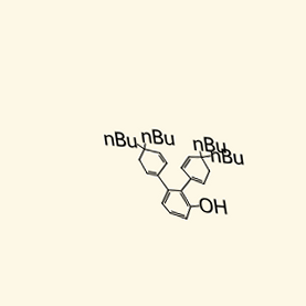 CCCCC1(CCCC)C=CC(c2cccc(O)c2C2=CCC(CCCC)(CCCC)C=C2)=CC1